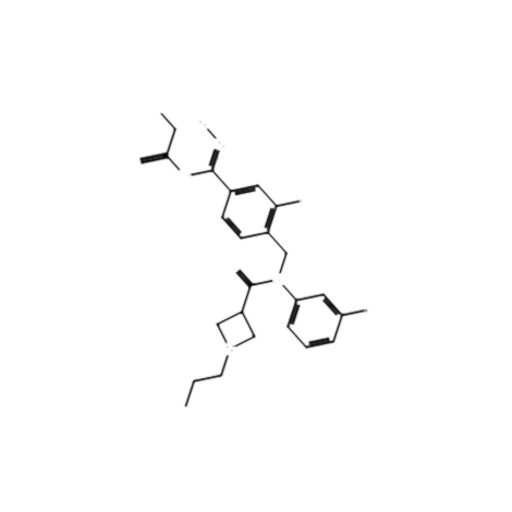 C=C(CF)O/C(=N\N)c1ccc(CN(C(=O)C2CN(CCC)C2)c2cccc(F)c2)c(F)c1